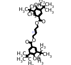 CC(C)(C)c1cc(C(=O)OC/C=C/COC(=O)c2cc(C(C)(C)C)c(O)c(C(C)(C)C)c2)cc(C(C)(C)C)c1O